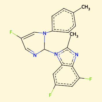 Cc1ccc(N2C=C(F)C=NC2n2c(C)nc3c(F)cc(F)cc32)cc1